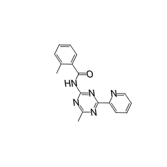 Cc1nc(NC(=O)c2ccccc2C)nc(-c2ccccn2)n1